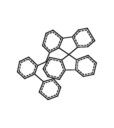 c1ccc(-c2ccccc2Cc2cccc3c2C2(c4ccccc4-c4ccccc42)c2ccccc2-3)cc1